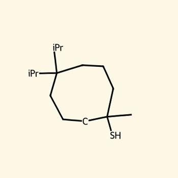 CC(C)C1(C(C)C)CCCC(C)(S)CCC1